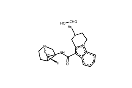 CC(=O)N1CCn2c(c(C(=O)N[C@H]3CN4CCC3CC4)c3ccccc32)C1.O=CO